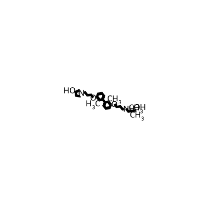 Cc1c(OCCCNCC(C)(C)CO)cccc1-c1cccc(OCCCN2CC[C@@H](O)C2)c1C